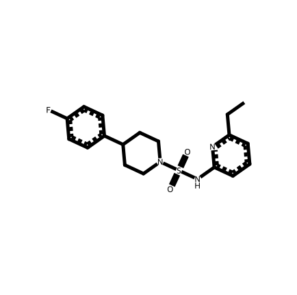 CCc1cccc(NS(=O)(=O)N2CCC(c3ccc(F)cc3)CC2)n1